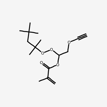 C#COCC(OOC(C)(C)CC(C)(C)C)OC(=O)C(=C)C